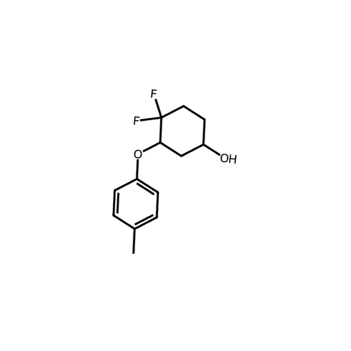 Cc1ccc(OC2CC(O)CCC2(F)F)cc1